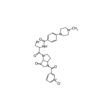 CC(C)CC(NC(=O)c1ccc(N2CCN(C)CC2)cc1)C(=O)N1CCC2C1C(=O)CN2C(=O)c1ccc[n+]([O-])c1